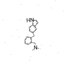 CN(C)Cc1ccccc1Cc1ccc2[nH]ccc2c1